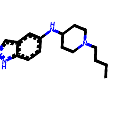 CCCCN1CCC(Nc2ccc3[nH]ncc3c2)CC1